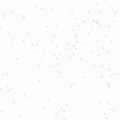 Cc1ccc(-c2noc(C(F)(F)F)c2-c2ccc(S(N)(=O)=O)c(F)c2)cc1F